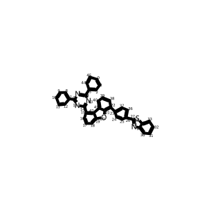 c1ccc(-c2nc(-c3ccccc3)nc(-c3cccc4oc5c(-c6ccc(-c7nc8ccccc8s7)cc6)cccc5c34)n2)cc1